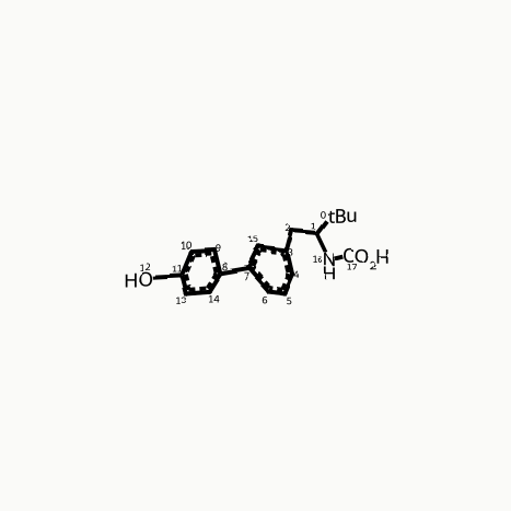 CC(C)(C)C(Cc1cccc(-c2ccc(O)cc2)c1)NC(=O)O